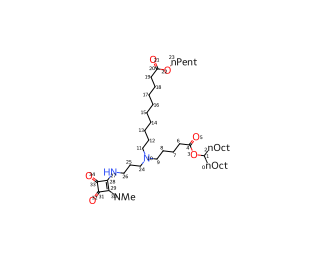 CCCCCCCCC(CCCCCCCC)OC(=O)CCCCN(CCCCCCCCCC(=O)OCCCCC)CCCNc1c(NC)c(=O)c1=O